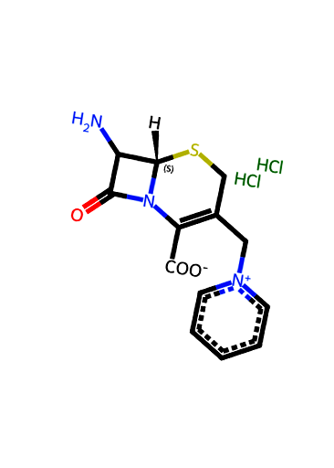 Cl.Cl.NC1C(=O)N2C(C(=O)[O-])=C(C[n+]3ccccc3)CS[C@@H]12